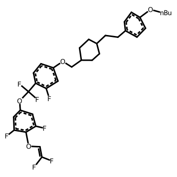 CCCCOc1ccc(CCC2CCC(COc3ccc(C(F)(F)Oc4cc(F)c(OC=C(F)F)c(F)c4)c(F)c3)CC2)cc1